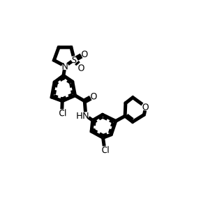 O=C(Nc1cc(Cl)cc(C2=CCOCC2)c1)c1cc(N2CCCS2(=O)=O)ccc1Cl